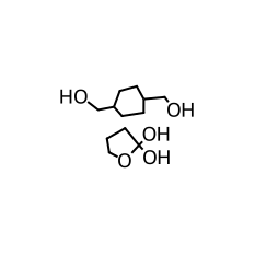 OC1(O)CCCO1.OCC1CCC(CO)CC1